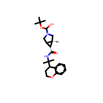 CC(C)(C)OC(O)N1CC2[C@@H](C1)[C@@H]2C(=O)NC(C)(C)C1CCOc2ccccc21